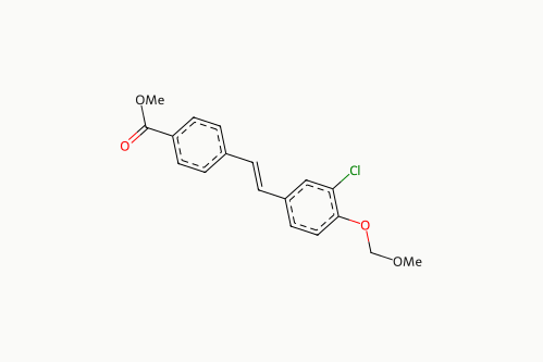 COCOc1ccc(C=Cc2ccc(C(=O)OC)cc2)cc1Cl